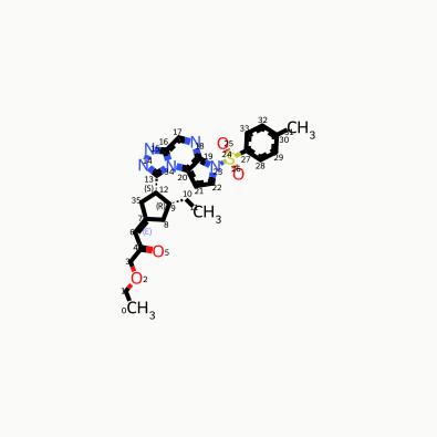 CCOCC(=O)/C=C1\C[C@@H](CC)[C@@H](c2nnc3cnc4c(ccn4S(=O)(=O)c4ccc(C)cc4)n23)C1